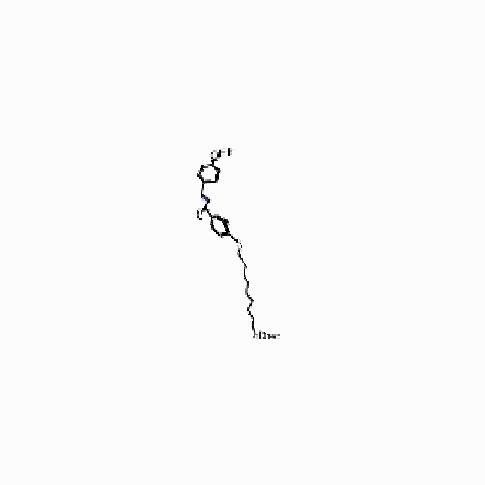 CCCCCCCCCCCCCCCCCCCSc1ccc(C(=O)/C=C/c2ccc(OCC)cc2)cc1